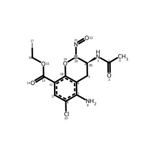 CC(=O)N[C@H]1Cc2c(N)c(Cl)cc(C(=O)OCI)c2OB1N=O